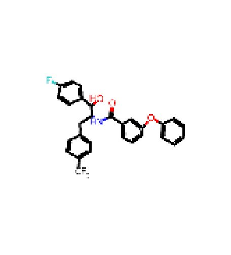 O=C(NC(Cc1ccc(C(F)(F)F)cc1)C(O)c1ccc(F)cc1)c1cccc(Oc2ccccc2)c1